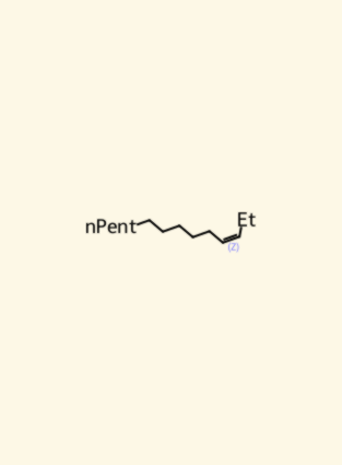 CC/C=C\CCCCCCCCCC